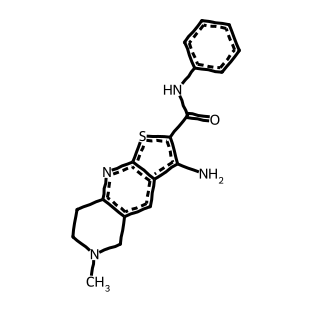 CN1CCc2nc3sc(C(=O)Nc4ccccc4)c(N)c3cc2C1